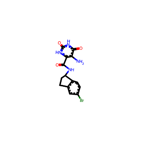 Nc1c(C(=O)NC2CCc3cc(Br)ccc32)[nH]c(=O)[nH]c1=O